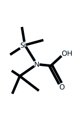 CC(C)(C)N(C(=O)O)[Si](C)(C)C